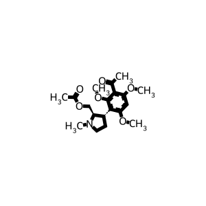 COc1cc(OC)c([C@@H]2CCN(C)[C@H]2COC(C)=O)c(OC)c1C(C)=O